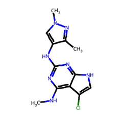 CNc1nc(Nc2cn(C)nc2C)nc2[nH]cc(Cl)c12